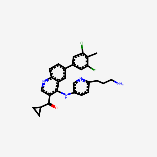 Cc1c(F)cc(-c2ccc3ncc(C(=O)C4CC4)c(Nc4ccc(CCCN)nc4)c3c2)cc1Cl